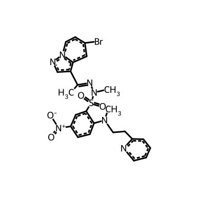 CC(=NN(C)S(=O)(=O)c1cc([N+](=O)[O-])ccc1N(C)CCc1ccccn1)c1cnn2ccc(Br)cc12